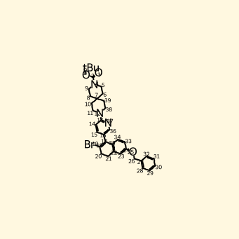 CC(C)(C)OC(=O)N1CCC2(CC1)CCN(c1ccc(C3=C(Br)CCc4cc(OCc5ccccc5)ccc43)cn1)CC2